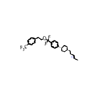 C/C=C/CC[C@H]1CC[C@H](c2ccc(C(F)(F)OCCc3ccc(C(F)(F)F)cc3)cc2)CC1